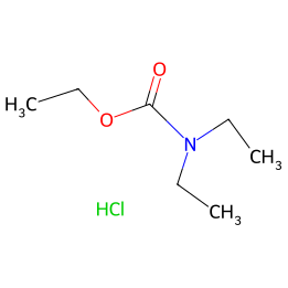 CCOC(=O)N(CC)CC.Cl